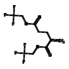 C=C(CCC(=O)OCC(F)(F)F)C(=O)OCC(F)(F)F